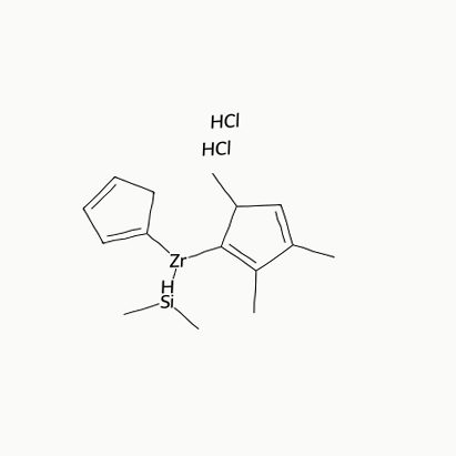 CC1=CC(C)[C]([Zr]([C]2=CC=CC2)[SiH](C)C)=C1C.Cl.Cl